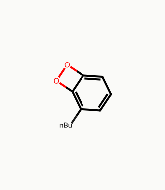 CCCCc1cccc2ooc12